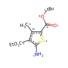 CCOC(=O)c1c(N)sc(C(=O)OC(C)(C)C)c1C